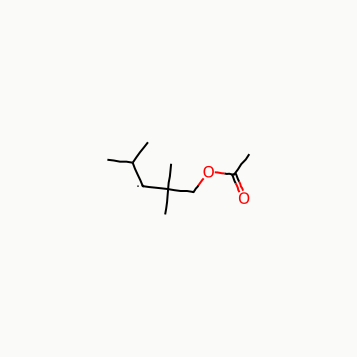 CC(=O)OCC(C)(C)[CH]C(C)C